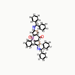 O=C1c2sc(N=C(c3ccccc3)c3ccccc3)cc2P(=O)(c2ccccc2)c2cc(N=C(c3ccccc3)c3ccccc3)sc21